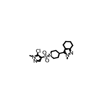 Cn1ncc(S(=O)(=O)N2CCC(c3c4c(nn3C)CCCC4)CC2)c1Cl